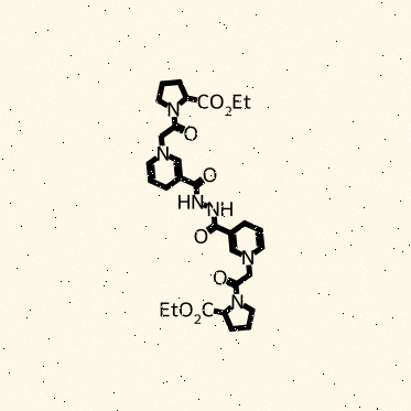 CCOC(=O)C1CCCN1C(=O)CN1C=CCC(C(=O)NNC(=O)C2=CN(CC(=O)N3CCCC3C(=O)OCC)C=CC2)=C1